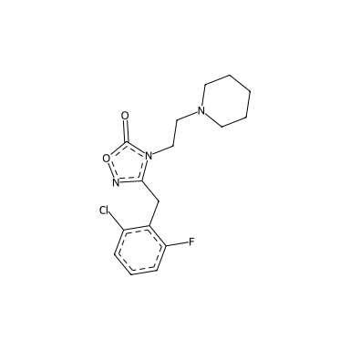 O=c1onc(Cc2c(F)cccc2Cl)n1CCN1CCCCC1